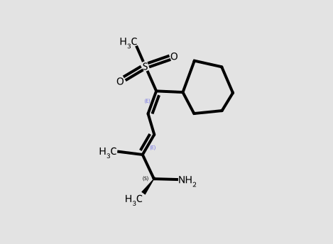 C/C(=C\C=C(/C1CCCCC1)S(C)(=O)=O)[C@H](C)N